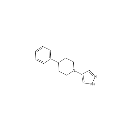 c1ccc(C2CCN(c3cn[nH]c3)CC2)cc1